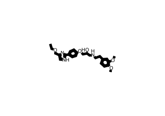 CCOCc1c[nH]c(-c2ccc(OC[C@@H](O)CNCCc3ccc(OC)c(OC)c3)cc2)n1